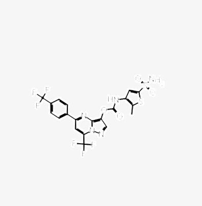 Cc1sc(S(N)(=O)=O)cc1NC(=O)Oc1cnn2c(C(F)(F)F)cc(-c3ccc(C(F)(F)F)cc3)nc12